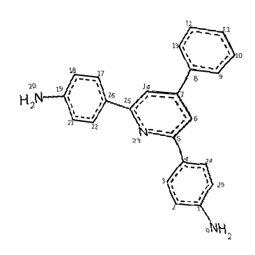 Nc1ccc(-c2cc(-c3ccccc3)cc(-c3ccc(N)cc3)n2)cc1